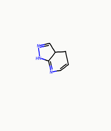 C1=CN=C2NN=CC2C1